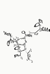 C/C=C(\C)[C@H]1c2cc(C(=O)NCCC(OC)OCC)cc(C(=O)NC)c2O[C@@H]1CF